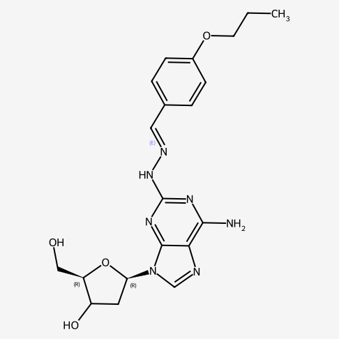 CCCOc1ccc(/C=N/Nc2nc(N)c3ncn([C@H]4CC(O)[C@@H](CO)O4)c3n2)cc1